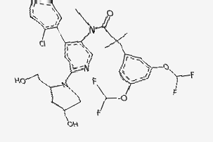 CN(C(=O)C(C)(C)c1cc(OC(F)F)cc(OC(F)F)c1)c1cnc(N2CC(O)CC2CO)cc1-c1ccccc1Cl